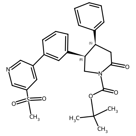 CC(C)(C)OC(=O)N1C[C@@H](c2cccc(-c3cncc(S(C)(=O)=O)c3)c2)[C@@H](c2ccccc2)CC1=O